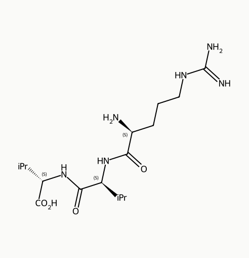 CC(C)[C@H](NC(=O)[C@@H](NC(=O)[C@@H](N)CCCNC(=N)N)C(C)C)C(=O)O